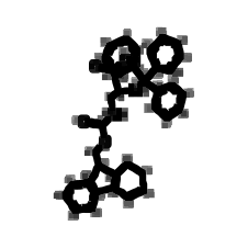 O=C(NCC(NC(c1ccccc1)(c1ccccc1)c1ccccc1)C(=O)O)OCC1C2=C(C=CCC2)c2ccccc21